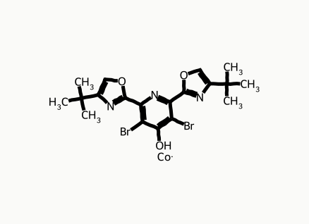 CC(C)(C)c1coc(-c2nc(-c3nc(C(C)(C)C)co3)c(Br)c(O)c2Br)n1.[Co]